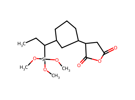 CCC(C1CCCC(C2CC(=O)OC2=O)C1)[Si](OC)(OC)OC